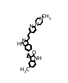 Cc1ccc2c(c1)[C@@]1(C[C@@H]1c1ccc3c(/C=C/c4ccc(N5CCN(C)CC5)nc4)n[nH]c3c1)C(=O)N2